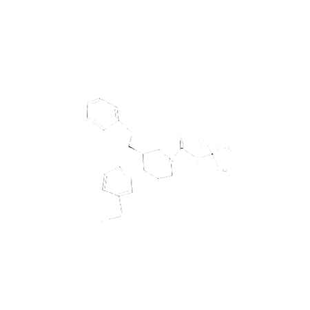 COc1cccc([C@H]2CCN(C(=O)OC(C)(C)C)C[C@@H]2COc2ccccc2)c1